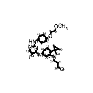 COCCOc1ccc(Nc2ncc(F)c(Nc3ccc4c(c3)N(CCC=O)CC43CC3)n2)cc1